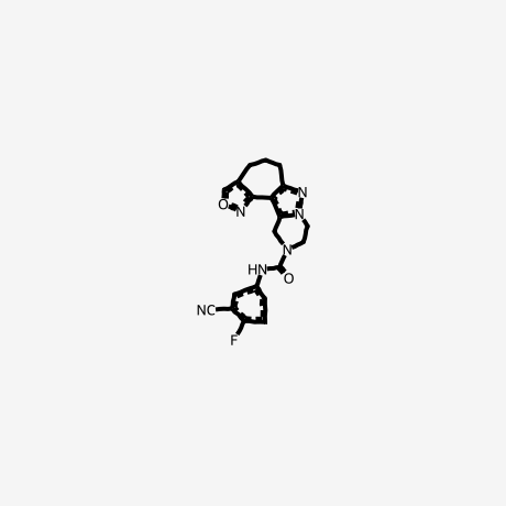 N#Cc1cc(NC(=O)N2CCn3nc4c(c3C2)-c2nocc2CCC4)ccc1F